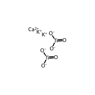 [Ca+2].[K+].[K+].[O]=[Ti]([O-])[O-].[O]=[Ti]([O-])[O-]